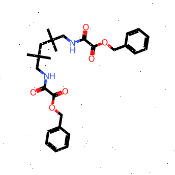 CC(C)(CNC(=O)C(=O)OCc1ccccc1)CC(C)(C)CNC(=O)C(=O)OCc1ccccc1